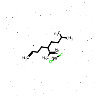 [CH2]C(C)CCC(CCC=C)C(=C)C.[Cl][Mg][Cl]